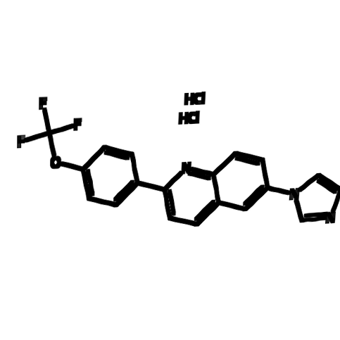 Cl.Cl.FC(F)(F)Oc1ccc(-c2ccc3cc(-n4ccnc4)ccc3n2)cc1